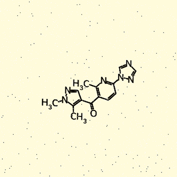 Cc1nc(-n2cncn2)ccc1C(=O)c1cnn(C)c1C